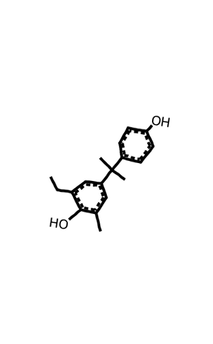 CCc1cc(C(C)(C)c2ccc(O)cc2)cc(C)c1O